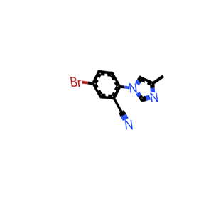 Cc1cn(-c2ccc(Br)cc2C#N)cn1